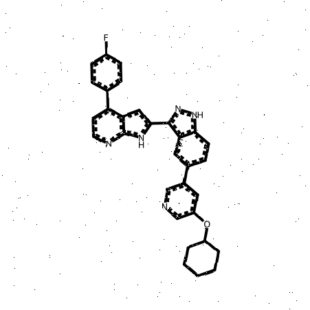 Fc1ccc(-c2ccnc3[nH]c(-c4n[nH]c5ccc(-c6cncc(OC7CCCCC7)c6)cc45)cc23)cc1